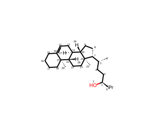 CC(C)[C@@H](O)CC[C@@H](C)[C@H]1CC[C@H]2[C@@H]3CC=C4CCCC[C@]4(C)[C@H]3CC[C@]12C